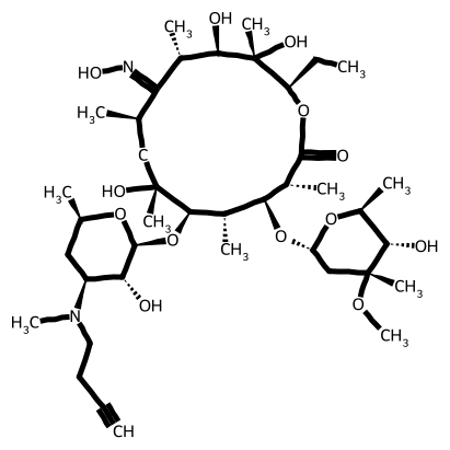 C#CCCN(C)[C@H]1C[C@@H](C)O[C@@H](O[C@@H]2[C@@H](C)[C@H](O[C@H]3C[C@@](C)(OC)[C@@H](O)[C@H](C)O3)[C@@H](C)C(=O)O[C@H](CC)[C@@](C)(O)[C@H](O)[C@@H](C)/C(=N/O)[C@H](C)C[C@@]2(C)O)[C@@H]1O